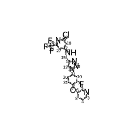 Fc1ncccc1Oc1ccc(-n2cc(CNc3cc(Cl)nc(C(F)(F)F)c3)nn2)cc1